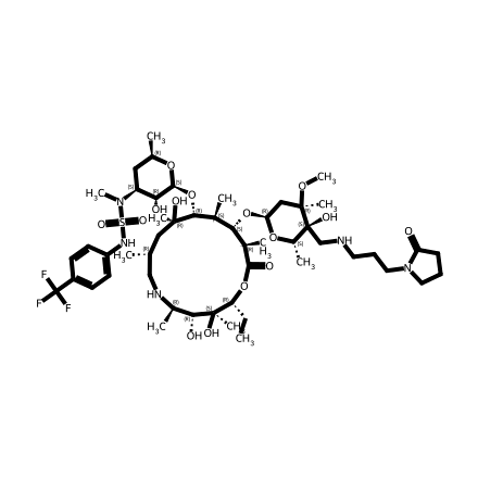 CC[C@H]1OC(=O)[C@H](C)[C@@H](O[C@H]2C[C@@](C)(OC)[C@](O)(CNCCCN3CCCC3=O)[C@H](C)O2)[C@H](C)[C@@H](O[C@@H]2O[C@H](C)C[C@H](N(C)S(=O)(=O)Nc3ccc(C(F)(F)F)cc3)[C@H]2O)[C@](C)(O)C[C@@H](C)CN[C@H](C)[C@@H](O)[C@]1(C)O